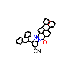 N#Cc1cc(C(Cc2ccccc2)c2ccccc2)c2nc3c4ccc(-c5ccccc5)c5c(-c6ccccc6)ccc(c(=O)n3c2c1)c54